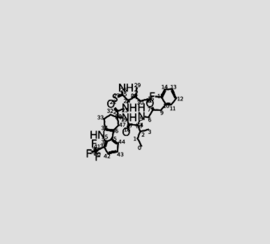 CCC(C)[C@H](NCC(=O)Cc1ccccc1F)C(=O)N[C@]1(C(=O)NC(C(N)=S)[C@@H](C)CC)CCc2[nH]c3c(C(F)(F)F)cccc3c2C1